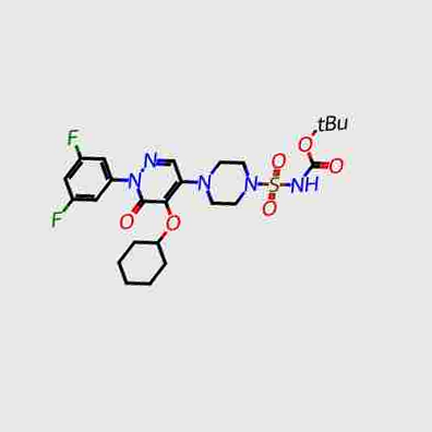 CC(C)(C)OC(=O)NS(=O)(=O)N1CCN(c2cnn(-c3cc(F)cc(F)c3)c(=O)c2OC2CCCCC2)CC1